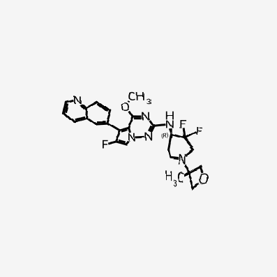 COc1nc(N[C@@H]2CCN(C3(C)COC3)CC2(F)F)nn2cc(F)c(-c3ccc4ncccc4c3)c12